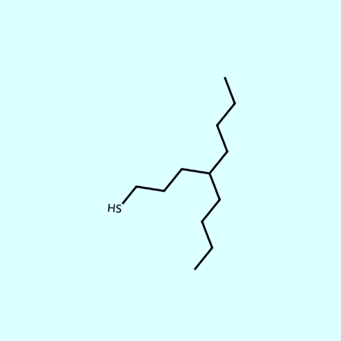 CCCCC(CCCC)CCCS